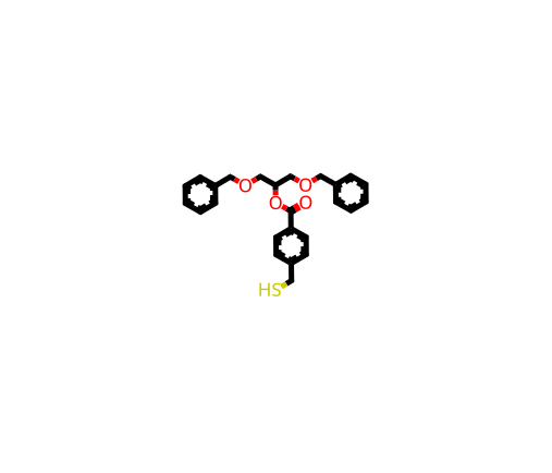 O=C(OC(COCc1ccccc1)COCc1ccccc1)c1ccc(CS)cc1